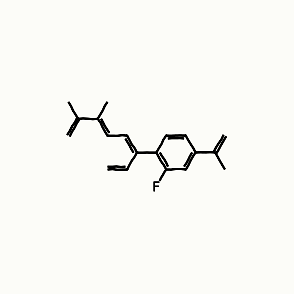 C=C/C(=C\C=C(/C)C(=C)C)c1ccc(C(=C)C)cc1F